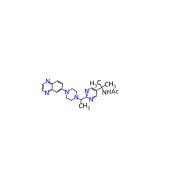 CC(=O)NC(C)(C)c1cnc(C(C)N2CCN(c3ccc4nccnc4c3)CC2)nc1